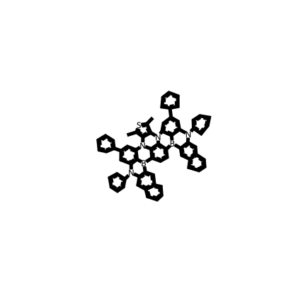 Cc1sc(C)c2c1N1c3cc(-c4ccccc4)cc4c3B(c3cc5ccccc5cc3N4c3ccccc3)c3ccc4c(c31)N2c1cc(-c2ccccc2)cc2c1B4c1cc3ccccc3cc1N2c1ccccc1